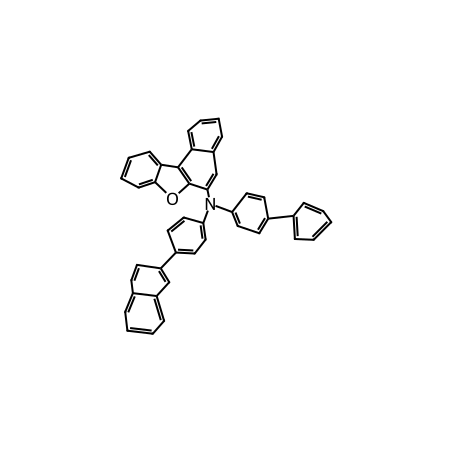 c1ccc(-c2ccc(N(c3ccc(-c4ccc5ccccc5c4)cc3)c3cc4ccccc4c4c3oc3ccccc34)cc2)cc1